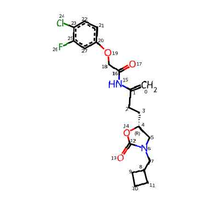 C=C(CC[C@@H]1CN(CC2CCC2)C(=O)O1)NC(=O)COc1ccc(Cl)c(F)c1